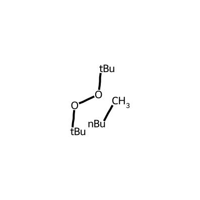 CC(C)(C)OOC(C)(C)C.CCCCC